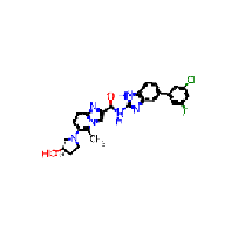 Cc1c(N2CC[C@@H](O)C2)ccc2nc(C(=O)Nc3nc4cc(-c5cc(F)cc(Cl)c5)ccc4[nH]3)cn12